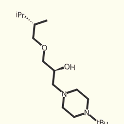 CC(C)[C@H](C)COC[C@@H](O)CN1CCN(C(C)(C)C)CC1